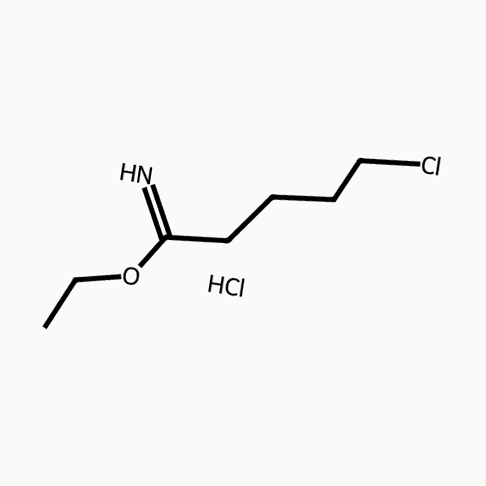 CCOC(=N)CCCCCl.Cl